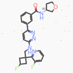 O=C(N[C@@H]1CCOC1)c1cccc(-c2ccc(NCC3(c4ncccc4F)CC(F)C3)nn2)c1